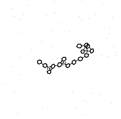 c1ccc(-c2ccc(-n3c4ccccc4c4cc(-c5ccc6c(c5)c5ccccc5n6-c5cccc(-c6ccc(-c7ccc(-c8cccc(C9(c%10ccccc%10-c%10ccccc%10-c%10ccccc%10)c%10ccccc%10-c%10ccccc%109)c8)cc7)cc6)c5)ccc43)cc2)cc1